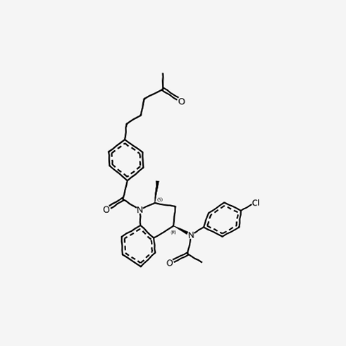 CC(=O)CCCc1ccc(C(=O)N2c3ccccc3[C@H](N(C(C)=O)c3ccc(Cl)cc3)C[C@@H]2C)cc1